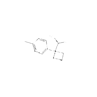 CCOC(=O)C(C#N)C1(c2ccc(Cl)cc2)CCC1